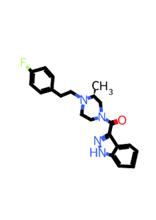 C[C@@H]1CN(C(=O)c2n[nH]c3ccccc23)CCN1CCc1ccc(F)cc1